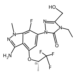 CCn1c(CO)nn(-c2cc(O[C@@H](C)C(F)(F)F)c3c(N)nn(C)c3c2F)c1=O